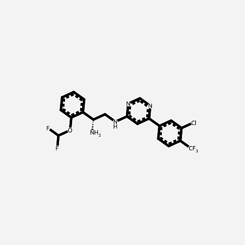 N[C@@H](CNc1cc(-c2ccc(C(F)(F)F)c(Cl)c2)ncn1)c1ccccc1OC(F)F